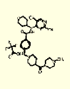 CN1CCN(C(=O)C2CCN(Cc3ccc(C(=O)NN(c4nc(C#N)ncc4Cl)C4CCOCC4)cc3)CC2)CC1.O=C(O)C(F)(F)F